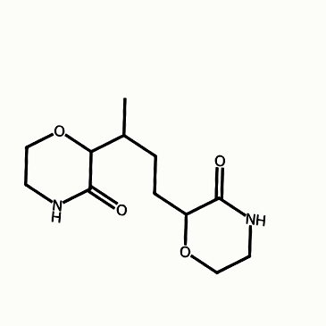 CC(CCC1OCCNC1=O)C1OCCNC1=O